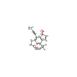 CCC#Cc1c2c(c([Si](C)(C)C(C)(C)C)c3c1C(=O)C=C3)OCC2